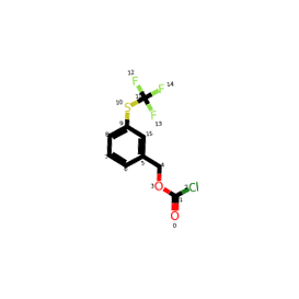 O=C(Cl)OCc1cccc(SC(F)(F)F)c1